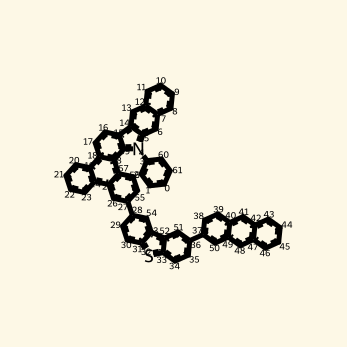 c1ccc(-n2c3cc4ccccc4cc3c3ccc4c5ccccc5c5cc(-c6ccc7sc8ccc(-c9ccc%10cc%11ccccc%11cc%10c9)cc8c7c6)ccc5c4c32)cc1